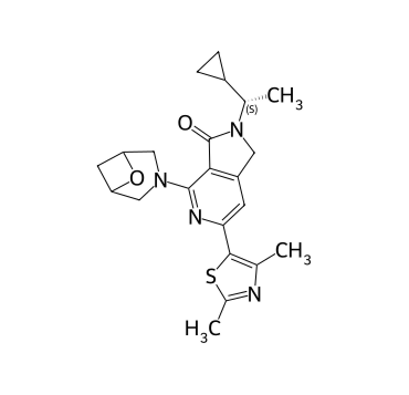 Cc1nc(C)c(-c2cc3c(c(N4CC5CC(C4)O5)n2)C(=O)N([C@@H](C)C2CC2)C3)s1